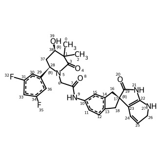 CC1(C)C(=O)N(CC(=O)Nc2ccc3c(c2)C[C@@]2(C3)C(=O)NC3=C2C=CCN3)[C@@H](c2cc(F)cc(F)c2)C[C@H]1O